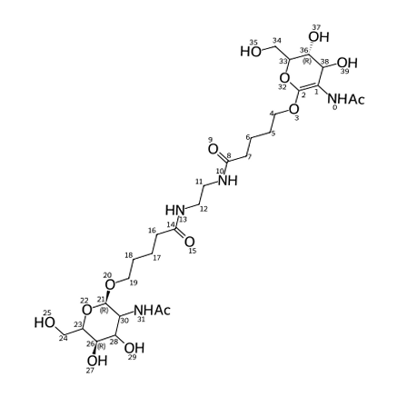 CC(=O)NC1=C(OCCCCC(=O)NCCNC(=O)CCCCO[C@@H]2OC(CO)[C@H](O)C(O)C2NC(C)=O)OC(CO)[C@H](O)C1O